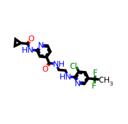 CC(F)(F)c1cnc(NCCNC(=O)c2ccnc(NC(=O)C3CC3)c2)c(Cl)c1